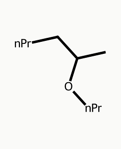 CCCCC(C)OCCC